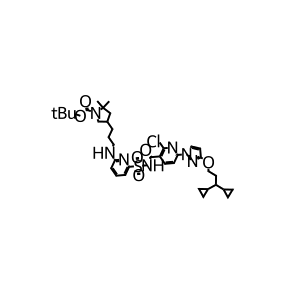 CC(C)(C)OC(=O)N1CC(CCCNc2cccc(S(=O)(=O)NC(=O)c3ccc(-n4ccc(OCCC(C5CC5)C5CC5)n4)nc3Cl)n2)CC1(C)C